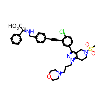 CS(=O)(=O)N1CCc2c(c(-c3ccc(Cl)c(C#Cc4ccc(CN[C@H](C(=O)O)c5ccccc5)cc4)c3)nn2CCCN2CCOCC2)C1